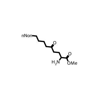 CCCCCCCCCCCCCC(=O)CCC(N)C(=O)OC